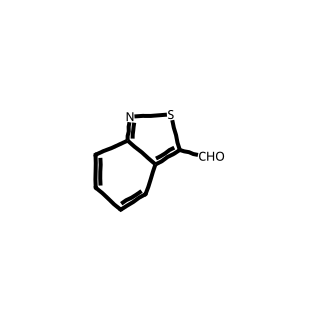 O=Cc1snc2ccccc12